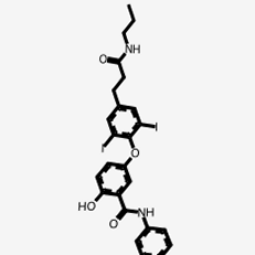 CCCNC(=O)CCc1cc(I)c(Oc2ccc(O)c(C(=O)Nc3ccccc3)c2)c(I)c1